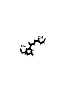 C\C=C/C(O)=C\C=C(/C)c1cc(C)cc(CC)c1O